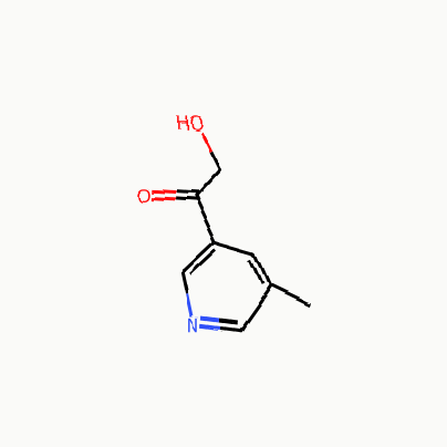 Cc1cncc(C(=O)CO)c1